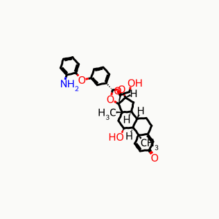 C[C@]12C=CC(=O)C=C1CC[C@@H]1[C@@H]2[C@@H](O)C[C@@]2(C)[C@H]1C[C@H]1O[C@@H](c3cccc(Oc4ccccc4N)c3)O[C@]12C(=O)CO